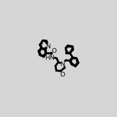 O=C1CCC(CNC(=O)c2cccc3cccnc23)N(Cc2ccccc2-c2ccccc2)C1